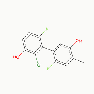 Cc1cc(F)c(-c2c(F)[c]cc(O)c2Cl)cc1O